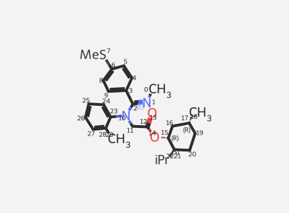 C/N=C(\c1ccc(SC)cc1)N(CC(=O)O[C@@H]1C[C@H](C)CC[C@H]1C(C)C)c1ccccc1C